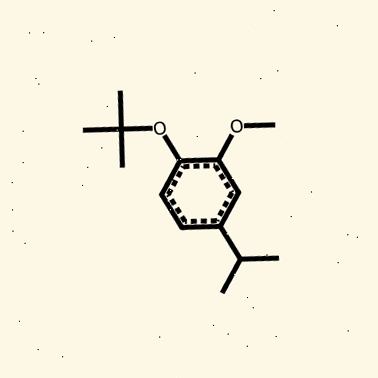 COc1cc(C(C)C)ccc1OC(C)(C)C